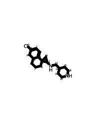 ClC1=CC=C2C(CCCC23CC3NCC2CCNCC2)C1